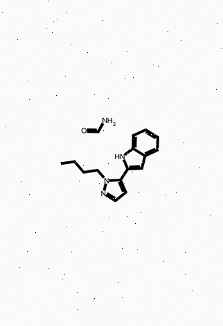 CCCCn1nccc1-c1cc2ccccc2[nH]1.NC=O